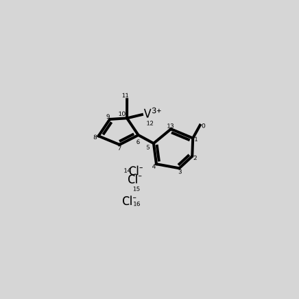 Cc1cccc(C2=CC=C[C]2(C)[V+3])c1.[Cl-].[Cl-].[Cl-]